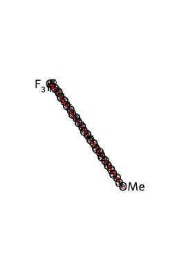 COCCOCCOCCOCCOCCOCCOCCOCCOCCOCCOCCOCCOCCOCCOCCOCCOCCOCCOCCOCCOCCOCCOCCOCC(F)(F)C(F)(F)C(F)(F)F